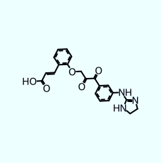 O=C(O)C=Cc1ccccc1OCC(=O)C(=O)c1cccc(NC2=NCCN2)c1